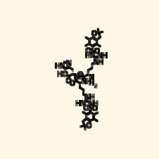 Cc1c(C)c(S(=O)(=O)NC(=N)NCCC[C@H](NC(=O)[C@@H](N)CCCNC(=N)NS(=O)(=O)c2c(C)c(C)c3c(c2C)CC(C)(C)O3)C(=O)N[C@@H](Cc2c[nH]cn2)C(=O)O)c(C)c2c1OC(C)(C)C2